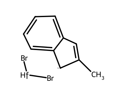 CC1=Cc2ccccc2[CH]1.[Br][Hf][Br]